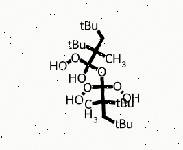 CC(C)(C)CC(C)(C(C)(C)C)C(O)(OO)OC(OO)(OO)C(C)(CC(C)(C)C)C(C)(C)C